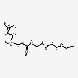 CCOCCOCCOC(=O)CCN(C)CCN(C)C